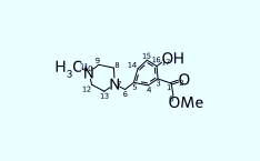 COC(=O)c1cc(CN2CCN(C)CC2)ccc1O